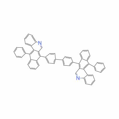 c1ccc(-c2c3ccccc3c(-c3ccc(-c4ccc(-c5c6ccccc6c(-c6ccccc6)c6c5cnc5ccccc56)cc4)cc3)c3cnc4ccccc4c23)cc1